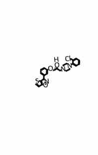 O[C@@H](COc1cccc(-c2noc3ccsc23)c1)CN1CCN(c2ccccc2Cl)CC1